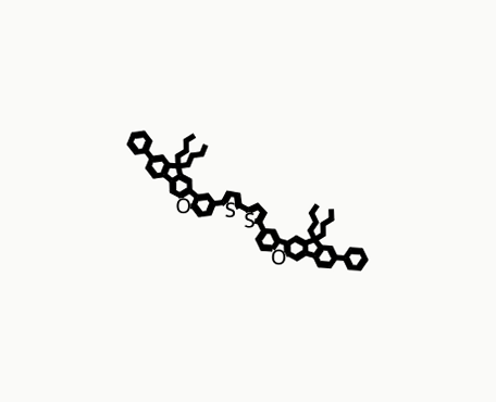 CCCCC1(CCCC)c2cc(-c3ccccc3)ccc2-c2cc3oc4ccc(-c5ccc(-c6ccc(-c7ccc8oc9cc%10c(cc9c8c7)C(CCCC)(CCCC)c7cc(-c8ccccc8)ccc7-%10)s6)s5)cc4c3cc21